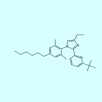 CCCCCCc1cc(C)c(-n2cc(CC)nc2-c2cccc(C(C)(C)C)n2)c(C)c1